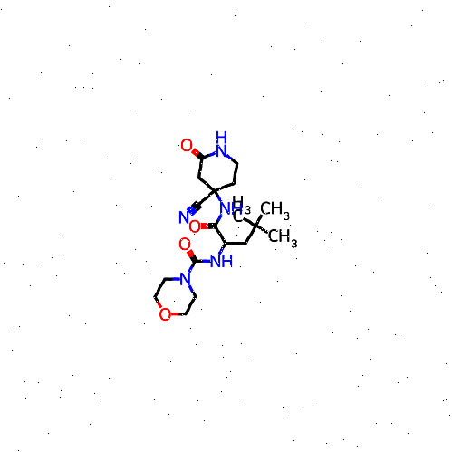 CC(C)(C)CC(NC(=O)N1CCOCC1)C(=O)NC1(C#N)CCNC(=O)C1